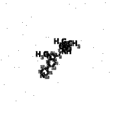 CN(C)S(=O)(=O)NCCc1cn(C)c2cc(-c3ccncc3)ccc12